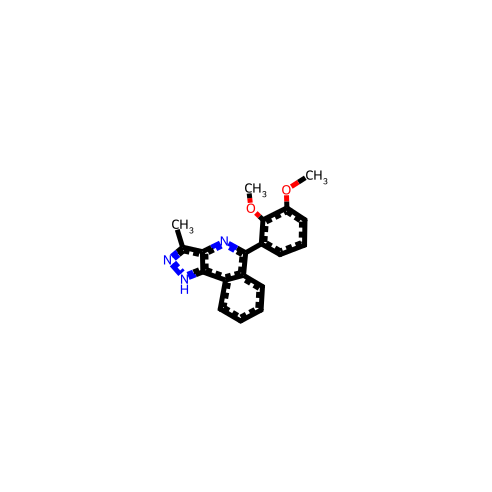 COc1cccc(-c2nc3c(C)n[nH]c3c3ccccc23)c1OC